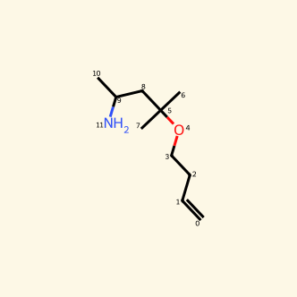 C=CCCOC(C)(C)CC(C)N